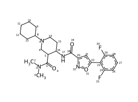 CN(C)C(=O)C1CN(C2CCCCC2)CCC1NC(=O)c1cc(-c2c(F)cccc2F)on1